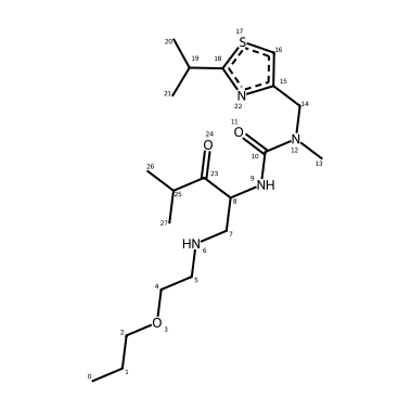 CCCOCCNCC(NC(=O)N(C)Cc1csc(C(C)C)n1)C(=O)C(C)C